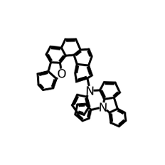 c1ccc(N(c2ccc3c(ccc4ccc5ccc6c7ccccc7oc6c5c43)c2)c2cccc3c4ccccc4n(-c4ccccc4)c23)cc1